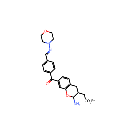 CCOC(=O)CC1Cc2ccc(C(=O)c3ccc(C=NN4CCOCC4)cc3)cc2OC1N